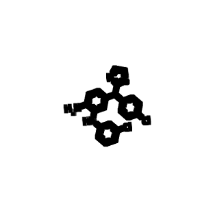 Nc1ccc(C(c2ccc(Cl)cc2)c2nccs2)cc1Nc1cccc(Cl)c1